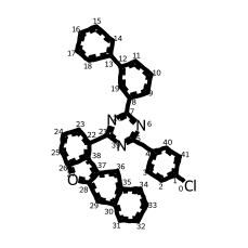 Clc1ccc(-c2nc(-c3cccc(-c4ccccc4)c3)nc(-c3cccc4oc5cc6ccccc6cc5c34)n2)cc1